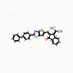 N#CC(C#N)=C1/C(=C/c2cc3sc(-c4ccc(-c5ccccc5)cc4)nc3s2)C(=O)c2ccccc21